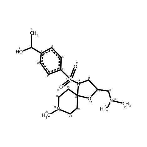 CC(O)c1ccc(S(=O)(=O)N2CC(CN(C)C)OC23CCN(C)CC3)cc1